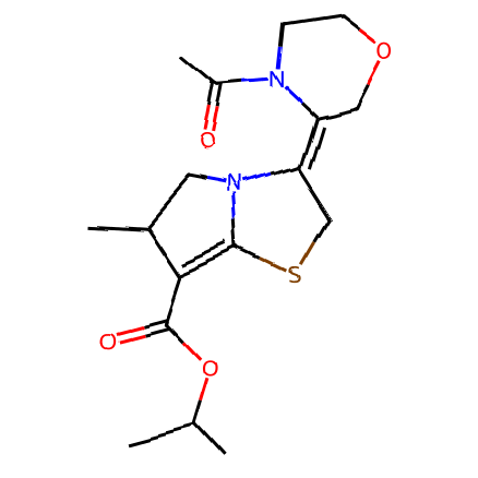 CC(=O)N1CCOCC1=C1CSC2=C(C(=O)OC(C)C)C(C)CN12